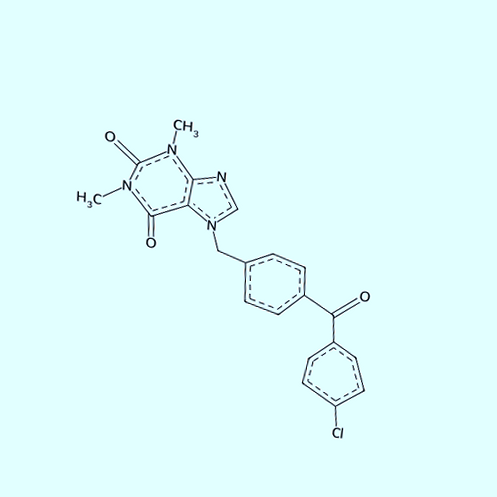 Cn1c(=O)c2c(ncn2Cc2ccc(C(=O)c3ccc(Cl)cc3)cc2)n(C)c1=O